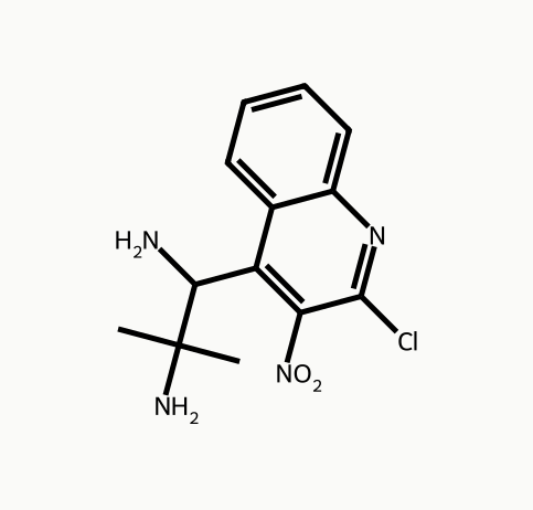 CC(C)(N)C(N)c1c([N+](=O)[O-])c(Cl)nc2ccccc12